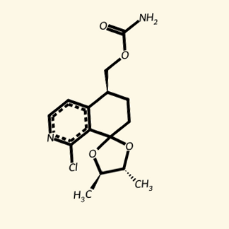 C[C@H]1OC2(CC[C@H](COC(N)=O)c3ccnc(Cl)c32)O[C@@H]1C